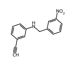 C#Cc1cccc(NCc2cccc([N+](=O)[O-])c2)c1